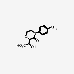 Cc1ccc(N2CCO[C@H]([C@@H](O)C(=O)O)C2=O)cc1